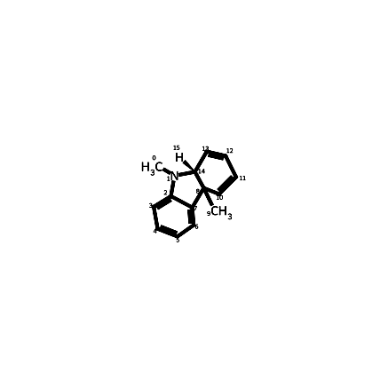 CN1c2ccccc2C2(C)C=CC=C[C@@H]12